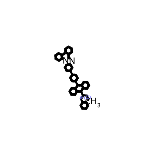 C/C=C\C(=C/c1ccccc1)c1c2ccccc2c(-c2ccc(-c3ccc4c(c3)nc3c5ccccc5c5ccccc5n43)cc2)c2ccccc12